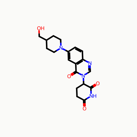 O=C1CCC(n2cnc3ccc(N4CCC(CO)CC4)cc3c2=O)C(=O)N1